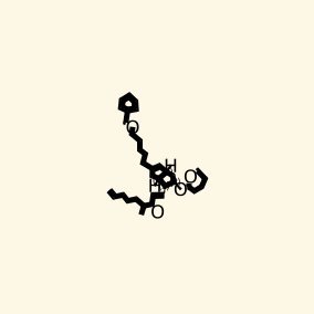 C=CCCCC(C)C(=O)C=C[C@@H]1[C@@H]2CC(CCCCCOCc3ccccc3)=C[C@@H]2C[C@H]1OC1CCCCO1